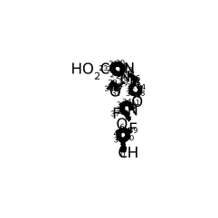 C#Cc1ccc(OCc2nc(OC3CCN(Cc4nc5ccc(C(=O)O)cc5n4C[C@@H]4CCO4)CC3)ccc2F)c(F)c1